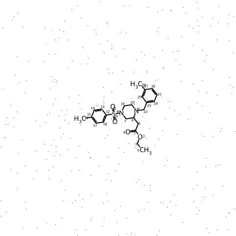 CCOC(=O)CC1CN(S(=O)(=O)c2ccc(C)cc2)CCN1Cc1cccc(C)c1